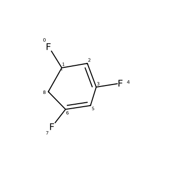 F[C]1C=C(F)C=C(F)C1